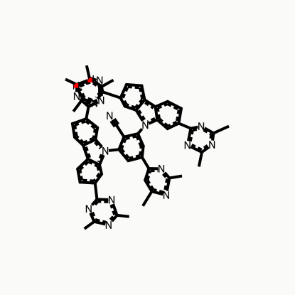 Cc1cc(-c2cc(-n3c4cc(-c5nc(C)nc(C)n5)ccc4c4ccc(-c5nc(C)nc(C)n5)cc43)c(C#N)c(-n3c4cc(-c5nc(C)nc(C)n5)ccc4c4ccc(-c5nc(C)nc(C)n5)cc43)c2)nc(C)n1